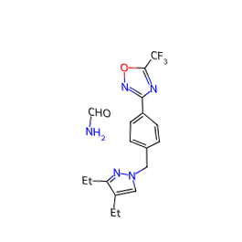 CCc1cn(Cc2ccc(-c3noc(C(F)(F)F)n3)cc2)nc1CC.NC=O